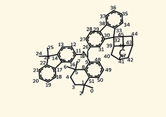 CC1(C)CCC(C)(C)c2c(N(c3ccc4c(c3)-c3ccccc3C4(C)C)c3ccc4c(c3)C3(c5ccccc5-4)C4CC5CC6CC3C64C5)cccc21